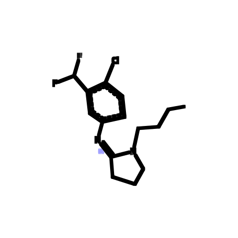 CCCCN1CCC/C1=N/c1ccc(Cl)c(C(F)F)c1